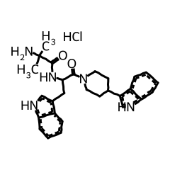 CC(C)(N)C(=O)NC(Cc1c[nH]c2ccccc12)C(=O)N1CCC(c2c[nH]c3ccccc23)CC1.Cl